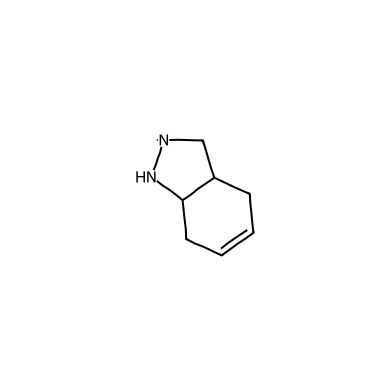 C1=CCC2N[N]CC2C1